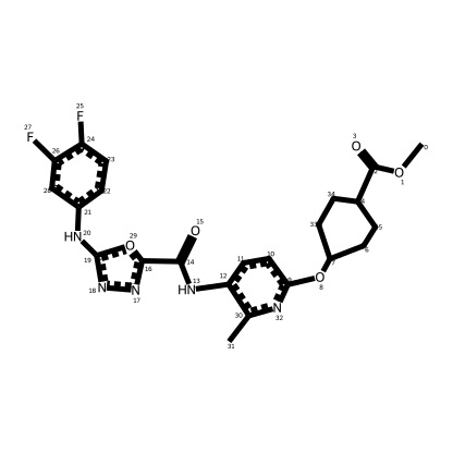 COC(=O)C1CCC(Oc2ccc(NC(=O)c3nnc(Nc4ccc(F)c(F)c4)o3)c(C)n2)CC1